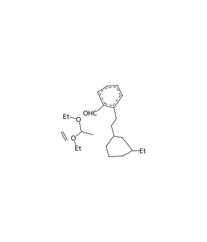 C=C.CCC1CCCC(CCc2ccccc2C=O)C1.CCOC(C)OCC